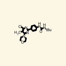 Cc1c(Cl)nc(-c2ccc(NC(=O)NC(C)(C)C)cc2)nc1N1CCOCC1